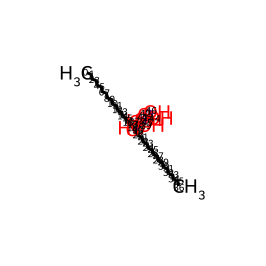 CCCCCCCCCCCCCCCCCCOCCCCCCCCCCCCCCCCCC.O=P(O)(O)O.O=P(O)(O)O